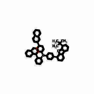 CC(C)(C)c1cccc2c1oc1c(-c3ccc(N(c4ccc(-c5ccc6ccccc6c5)cc4)c4ccccc4-c4cccc5ccccc45)cc3)cccc12